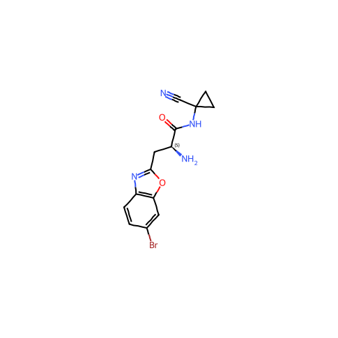 N#CC1(NC(=O)[C@@H](N)Cc2nc3ccc(Br)cc3o2)CC1